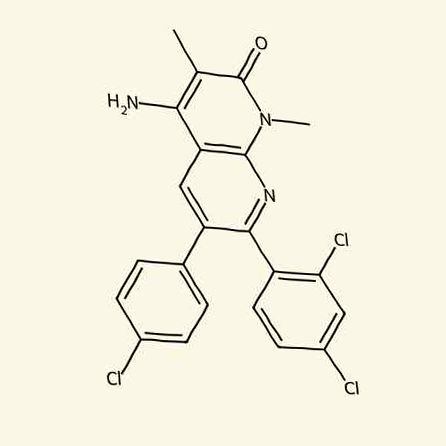 Cc1c(N)c2cc(-c3ccc(Cl)cc3)c(-c3ccc(Cl)cc3Cl)nc2n(C)c1=O